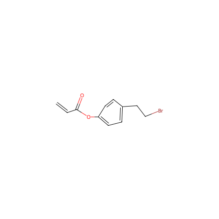 C=CC(=O)Oc1ccc(CCBr)cc1